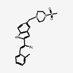 CC(=O)/C(=C\c1ccccc1C)c1cc2cc(CN3CCN(S(C)(=O)=O)CC3)ccc2[nH]1